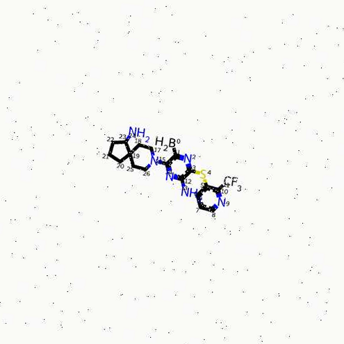 Bc1nc(Sc2cccnc2C(F)(F)F)c(N)nc1N1CCC2(CCCC2N)CC1